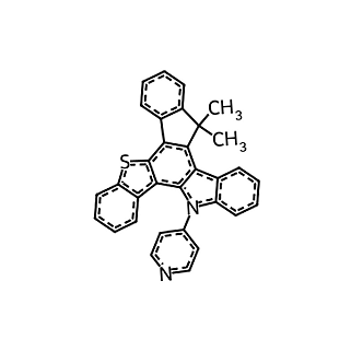 CC1(C)c2ccccc2-c2c1c1c3ccccc3n(-c3ccncc3)c1c1c2sc2ccccc21